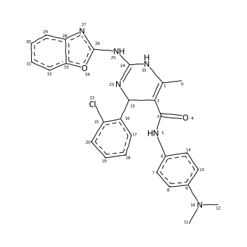 CC1=C(C(=O)Nc2ccc(N(C)C)cc2)C(c2ccccc2Cl)N=C(Nc2nc3ccccc3o2)N1